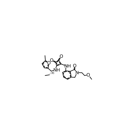 CC[C@@H](Nc1c(Nc2cccc3c2C(=O)N(CCOC)C3)c(=O)c1=O)c1ccc(C)o1